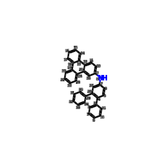 c1ccc(-c2ccc(Nc3ccc4c5ccccc5c5ccccc5c4c3)cc2-c2ccccc2)cc1